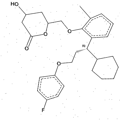 Cc1cccc([C@@H](CCOc2ccc(F)cc2)C2CCCCC2)c1OCC1CC(O)CC(=O)O1